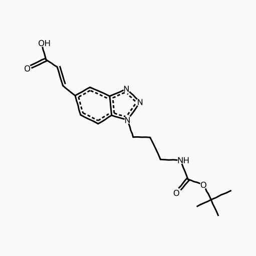 CC(C)(C)OC(=O)NCCCn1nnc2cc(C=CC(=O)O)ccc21